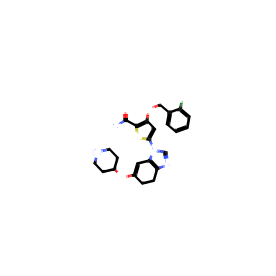 C[C@@H](Oc1cc(-n2cnc3c2C=C(OC2CCNCC2)CC3)sc1C(N)=O)c1ccccc1Cl